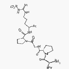 CC(=O)C(CCCNC(=N)N[N+](=O)[O-])NC(=O)C1CCCN1C(=O)CNC(=O)C1CCCN1C(=O)C(N)C(C)C